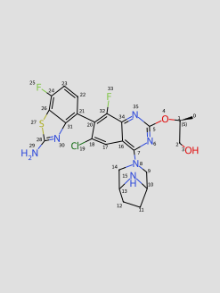 C[C@@H](CO)Oc1nc(N2CC3CCC(C2)N3)c2cc(Cl)c(-c3ccc(F)c4sc(N)nc34)c(F)c2n1